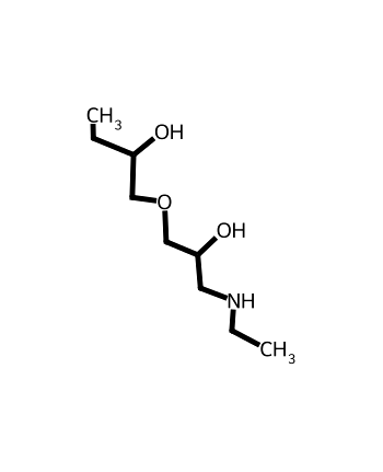 CCNCC(O)COCC(O)CC